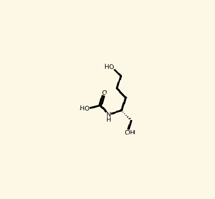 O=C(O)N[C@@H](CO)CCCO